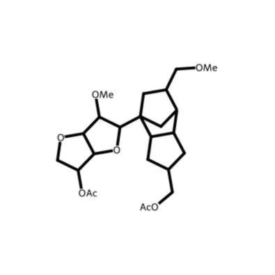 COCC1CC2(C3OC4C(OC(C)=O)COC4C3OC)CC1C1CC(COC(C)=O)CC12